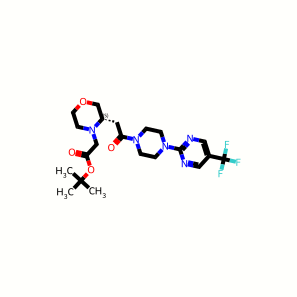 CC(C)(C)OC(=O)CN1CCOC[C@@H]1CC(=O)N1CCN(c2ncc(C(F)(F)F)cn2)CC1